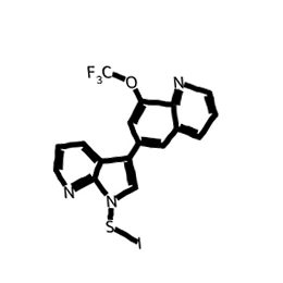 FC(F)(F)Oc1cc(-c2cn(SI)c3ncccc23)cc2cccnc12